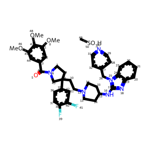 COc1cc(C(=O)N2CCC(CCN3CCC(Nc4nc5ccccc5n4Cc4ccncc4)CC3)(c3ccc(F)c(F)c3)C2)cc(OC)c1OC.CS(=O)(=O)O